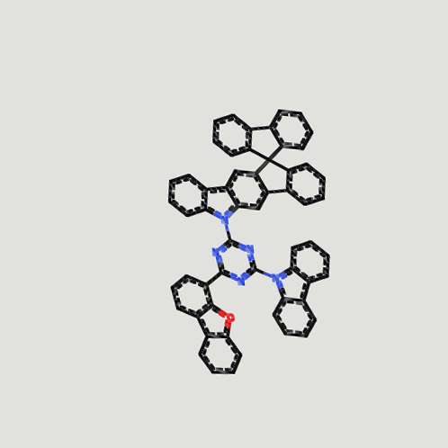 c1ccc2c(c1)-c1ccccc1C21c2ccccc2-c2cc3c(cc21)c1ccccc1n3-c1nc(-c2cccc3c2oc2ccccc23)nc(-n2c3ccccc3c3ccccc32)n1